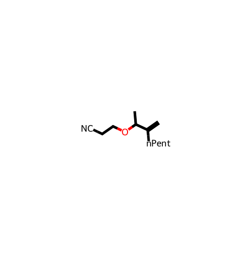 C=C(CCCCC)C(C)OCCC#N